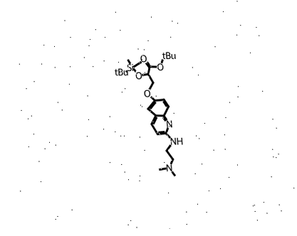 CN(C)CCNc1ccc2cc(OCC(O[Si](C)(C)C(C)(C)C)C(=O)OC(C)(C)C)ccc2n1